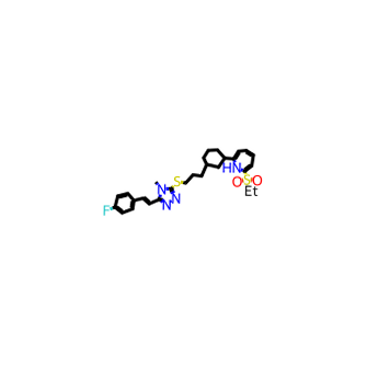 CCS(=O)(=O)C1=CC=CC=C(C2CCCC(CCCSc3nnc(C=Cc4ccc(F)cc4)n3C)C2)N1